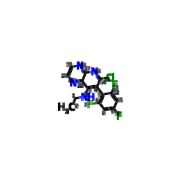 CCNc1c(-c2c(F)cc(F)cc2F)c(Cl)nc2nccnc12